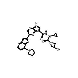 N#CC1CN(C(=O)[C@H](NC(=O)c2c[nH]c3ncc(-c4cc5nccc(N6CCCC6)c5s4)nc23)C2CC2)C1